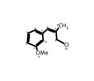 COc1cccc(C=C(C)CCl)c1